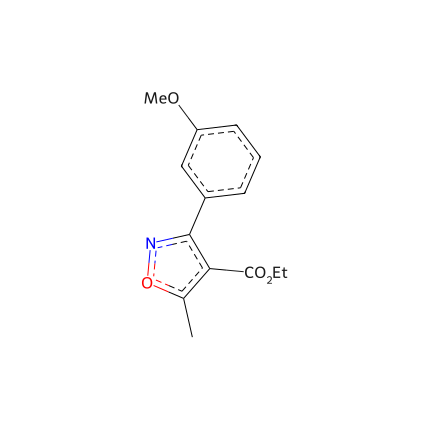 CCOC(=O)c1c(-c2cccc(OC)c2)noc1C